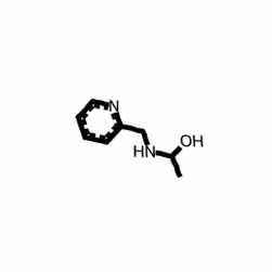 CC(O)NCc1ccccn1